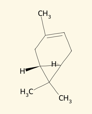 CC1=CC[C@@H]2[C@@H](C1)C2(C)C